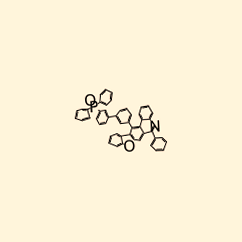 O=P(c1ccccc1)(c1ccccc1)c1cccc(-c2cccc(-c3c4c(cc5c(-c6ccccc6)nc6ccccc6c35)oc3ccccc34)c2)c1